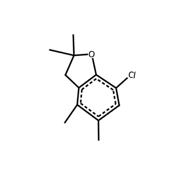 Cc1cc(Cl)c2c(c1C)CC(C)(C)O2